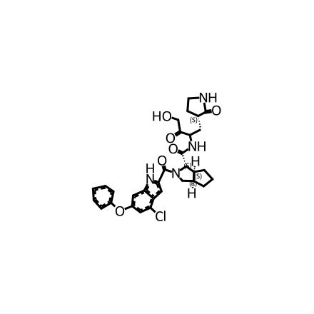 O=C(CO)C(C[C@@H]1CCNC1=O)NC(=O)[C@@H]1[C@H]2CCC[C@H]2CN1C(=O)c1cc2c(Cl)cc(Oc3ccccc3)cc2[nH]1